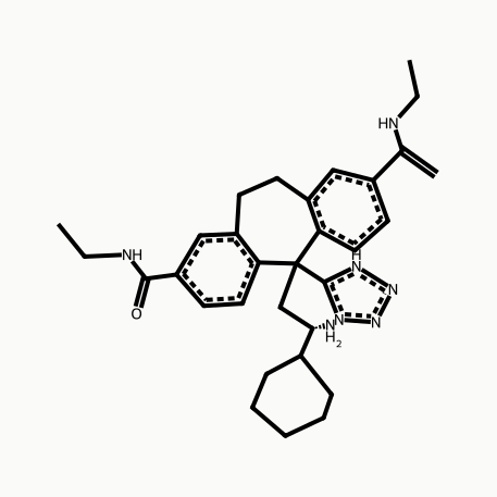 C=C(NCC)c1ccc2c(c1)CCc1cc(C(=O)NCC)ccc1C2(C[C@H](N)C1CCCCC1)c1nnn[nH]1